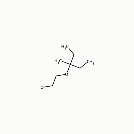 CCC(C)(CC)OCC[O]